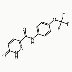 O=C(Nc1ccc(OC(F)(F)F)cc1)c1ccc(=O)[nH]n1